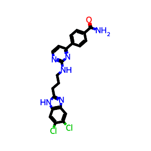 NC(=O)c1ccc(-c2ccnc(NCCCc3nc4cc(Cl)c(Cl)cc4[nH]3)n2)cc1